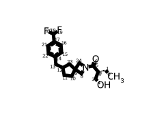 CC[C@H](CO)C(=O)N1CC2(CCC(Cc3ccc(C(F)F)cc3)C2)C1